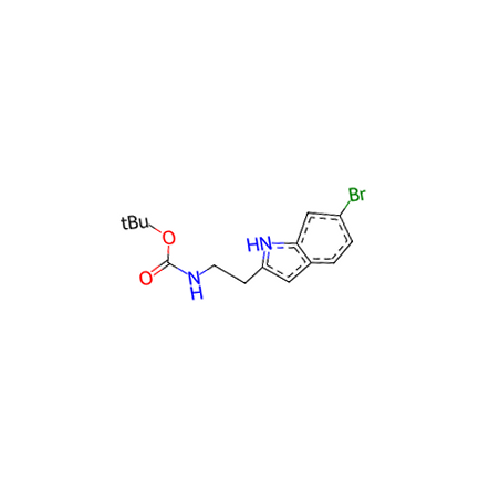 CC(C)(C)OC(=O)NCCc1cc2ccc(Br)cc2[nH]1